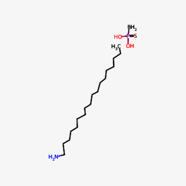 BP(O)(O)=S.CCCCCCCCCCCCCCCCCCN